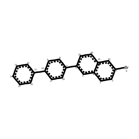 Brc1ccc2cc(-c3ccc(-c4ccccc4)cc3)ccc2c1